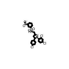 O=[N+]([O-])c1cccc(S(=O)(=O)NCC2=NN(c3ccc(Cl)cc3Cl)C(c3ccc(Cl)cc3)C2)c1